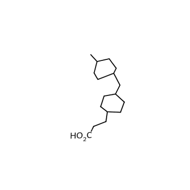 CC1CCC(CC2CCC(CCC(=O)O)CC2)CC1